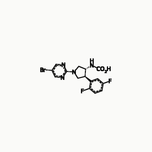 O=C(O)N[C@H]1CN(c2ncc(Br)cn2)C[C@@H]1c1cc(F)ccc1F